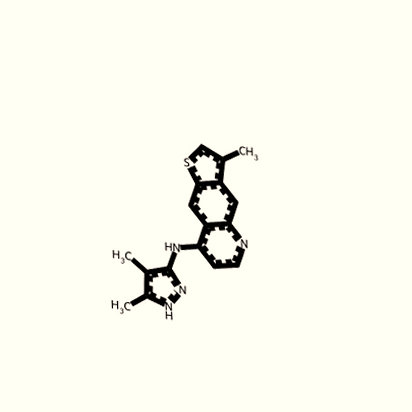 Cc1[nH]nc(Nc2ccnc3cc4c(C)csc4cc23)c1C